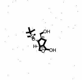 CC(C)(C)[Si](C)(C)O[C@@H]1[C@@H](CO)CC2C(O)OC[C@H]21